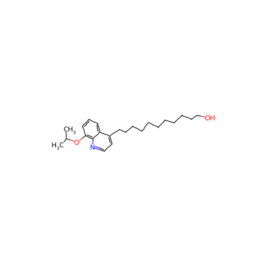 CC(C)Oc1cccc2c(CCCCCCCCCCCO)ccnc12